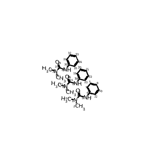 CN(C)C(=O)Nc1ccccc1.CN(C)C(=O)Nc1ccccc1.CN(C)C(=O)Nc1ccccc1